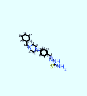 NC(=S)N/N=C/c1ccc(N2CCN(CC3CCCCC3)CC2)cc1